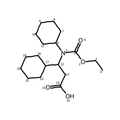 CCOC(=O)N(C1CCCCC1)C(CC(=O)O)C1CCCCC1